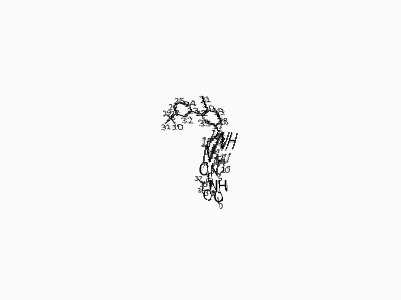 COC(=O)N[C@H](C(=O)N1CCC[C@H]1c1ncc(-c2ccc(I)c(-c3cccc(C(C)(C)C)c3)c2)[nH]1)C(C)C